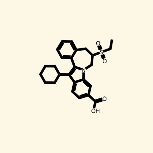 CCS(=O)(=O)C1Cc2ccccc2-c2c(C3CCCCC3)c3ccc(C(=O)O)cc3n2C1